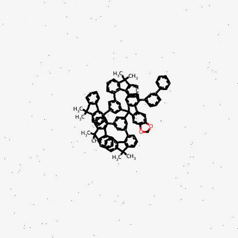 CC1(C)c2ccccc2-c2c(-c3cc(-c4cccc5c4-c4ccccc4C5(C)C)cc(C4(c5cc(-c6cccc7c6-c6ccccc6C7(C)C)cc(-c6cccc7c6-c6ccccc6C7(C)C)c5)c5cc6c(cc5-c5c(-c7cccc(-c8ccccc8)c7)cccc54)OCO6)c3)cccc21